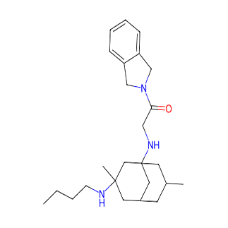 CCCCNC1(C)CC2CC(C)CC(NCC(=O)N3Cc4ccccc4C3)(C2)C1